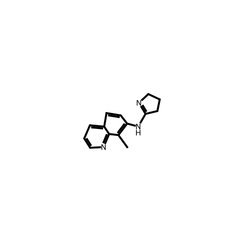 Cc1c(NC2=NCCC2)ccc2cccnc12